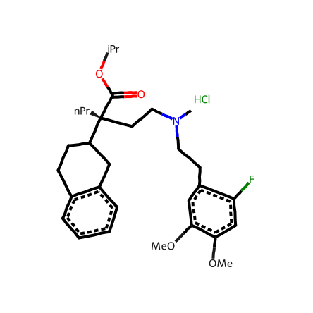 CCC[C@](CCN(C)CCc1cc(OC)c(OC)cc1F)(C(=O)OC(C)C)C1CCc2ccccc2C1.Cl